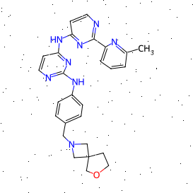 Cc1cccc(-c2nccc(Nc3ccnc(Nc4ccc(CN5CC6(CCOC6)C5)cc4)n3)n2)n1